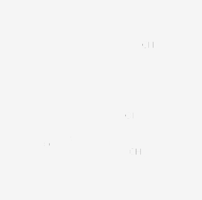 CC=CCC1(O)CC(=O)C=C1C